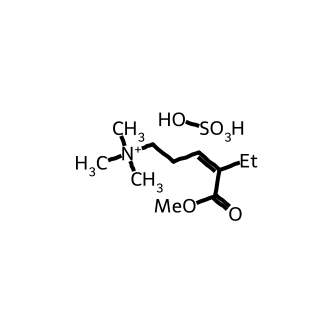 CCC(=CCC[N+](C)(C)C)C(=O)OC.O=S(=O)(O)O